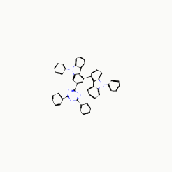 c1ccc(-c2nc(-c3ccccc3)nc(-c3cc(-c4cccc5c4c4ccccc4n5-c4ccccc4)c4c5ccccc5n(-c5ccccc5)c4c3)n2)cc1